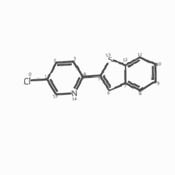 Clc1ccc(-c2cc3ccccc3s2)nc1